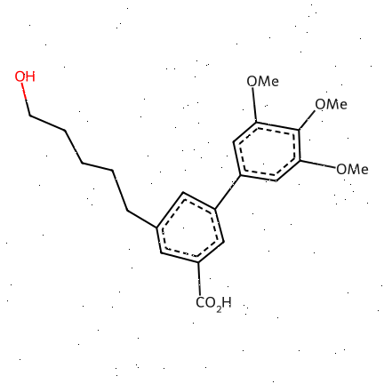 COc1cc(-c2cc(CCCCCO)cc(C(=O)O)c2)cc(OC)c1OC